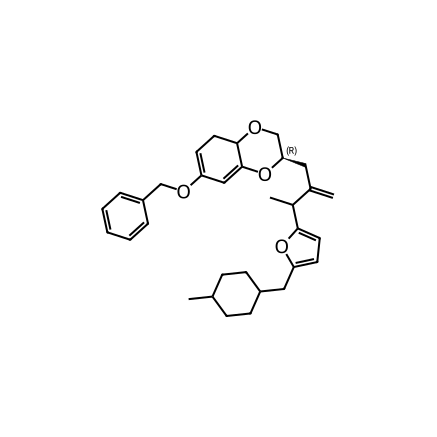 C=C(C[C@@H]1COC2CC=C(OCc3ccccc3)C=C2O1)C(C)c1ccc(CC2CCC(C)CC2)o1